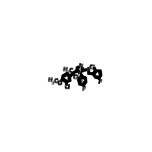 COc1ccc(C(C)(C)c2cnc(SCc3cc(F)ccc3Cl)n2-c2ccc(F)cc2)cc1Cl